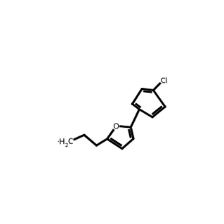 [CH2]CCc1ccc(-c2ccc(Cl)cc2)o1